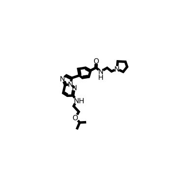 CC(C)OCCNc1ccc2ncc(-c3ccc(C(=O)NCCN4CCCC4)cc3)n2n1